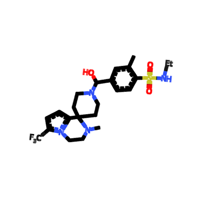 CCNS(=O)(=O)c1ccc(C(O)N2CCC3(CC2)c2ccc(C(F)(F)F)n2CCN3C)cc1C